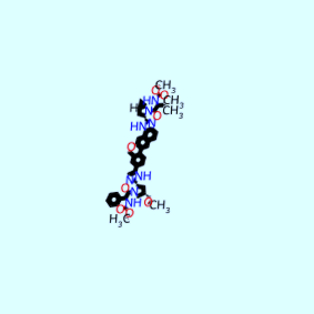 COC[C@H]1C[C@@H](c2ncc(-c3ccc4c(c3)COc3cc5c(ccc6nc([C@@H]7C[C@H]8CC8N7C(=O)[C@@H](NC(=O)OC)C(C)C)[nH]c65)cc3-4)[nH]2)N(C(=O)[C@H](NC(=O)OC)c2ccccc2)C1